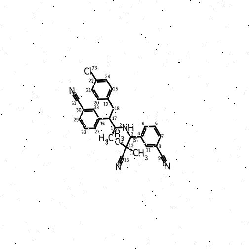 C[C@H](N[C@@H](c1cccc(C#N)c1)C(C)(C)C#N)C(Cc1ccc(Cl)cc1)c1cccc(C#N)c1